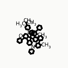 Cc1ccc(N(c2ccccc2)c2ccc3c(c2)C2(c4ccccc4-c4ccccc42)c2c(N(c4ccc(C(C)(C)C)cc4)c4ccc(C)c(-c5ccccc5)c4)cc4oc5ccccc5c4c2-3)cc1-c1ccccc1